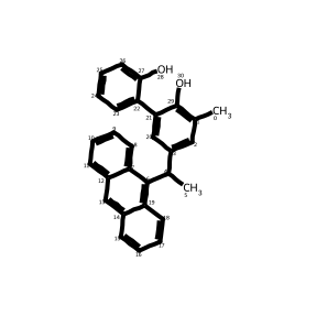 Cc1cc(C(C)c2c3ccccc3cc3ccccc23)cc(-c2ccccc2O)c1O